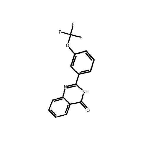 O=c1[nH]c(-c2cccc(OC(F)(F)F)c2)nc2ccccc12